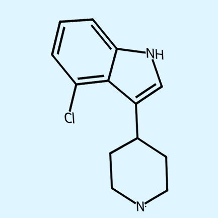 Clc1cccc2[nH]cc(C3CC[N]CC3)c12